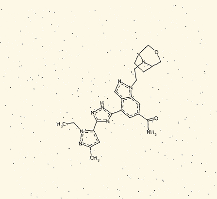 CCn1nc(C)cc1-c1n[nH]c(-c2cc(C(N)=O)cc3c2cnn3CCN2C3CCC2COC3)n1